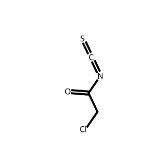 O=C(CCl)N=C=S